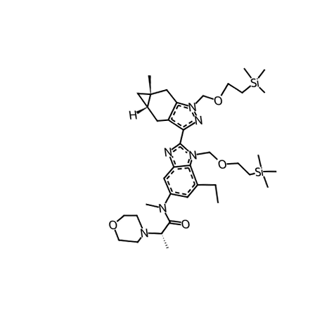 CCc1cc(N(C)C(=O)[C@H](C)N2CCOCC2)cc2nc(-c3nn(COCC[Si](C)(C)C)c4c3C[C@@H]3C[C@]3(C)C4)n(COCC[Si](C)(C)C)c12